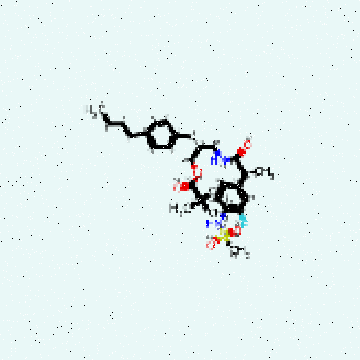 CCCCc1ccc(C[C@H](CNC(=O)[C@H](C)c2ccc(NS(C)(=O)=O)c(F)c2)COC(=O)C(C)(C)C)cc1